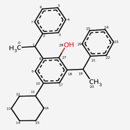 CC(c1ccccc1)c1cc(C2CCCCC2)cc(C(C)c2ccccc2)c1O